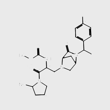 CC(c1ccc(C(F)(F)F)cc1)N1C(=O)C2CC1CN2CC(NC(=O)OC(C)(C)C)C(=O)N1CCCC1C#N